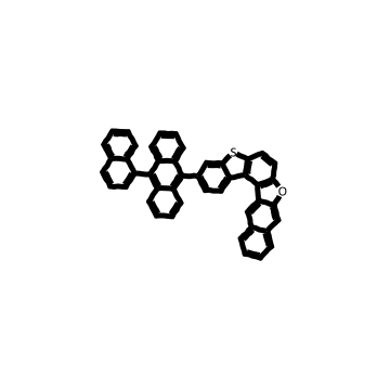 c1ccc2cc3c(cc2c1)oc1ccc2sc4cc(-c5c6ccccc6c(-c6cccc7ccccc67)c6ccccc56)ccc4c2c13